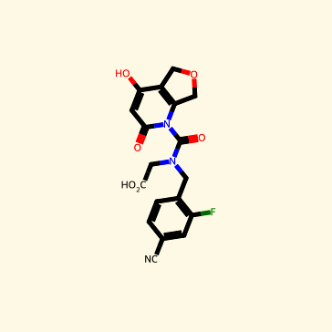 N#Cc1ccc(CN(CC(=O)O)C(=O)n2c3c(c(O)cc2=O)COC3)c(F)c1